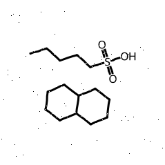 C1CCC2CCCCC2C1.CCCCCS(=O)(=O)O